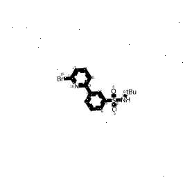 CC(C)(C)NS(=O)(=O)c1cccc(-c2cccc(Br)n2)c1